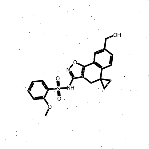 COc1ccccc1S(=O)(=O)Nc1noc2c1CC1(CC1)c1ccc(CO)cc1-2